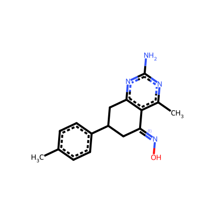 Cc1ccc(C2C/C(=N\O)c3c(C)nc(N)nc3C2)cc1